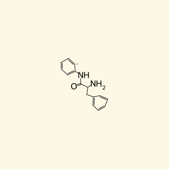 NC(Cc1ccccc1)C(=O)Nc1[c]cccc1